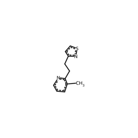 Cc1cccnc1CCc1ccsn1